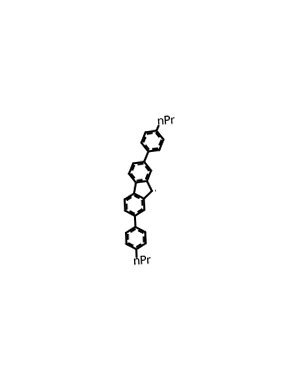 CCCc1ccc(-c2ccc3c(c2)[CH]c2cc(-c4ccc(CCC)cc4)ccc2-3)cc1